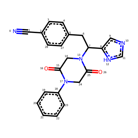 N#Cc1ccc(CC(c2cnc[nH]2)N2CC(=O)N(c3ccccc3)CC2=O)cc1